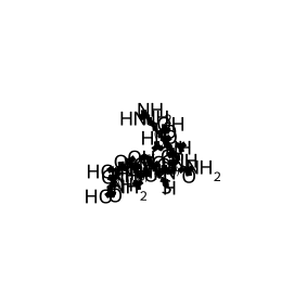 CC[C@H](C)[C@H](NC(=O)[C@H](CC(C)C)NC(=O)[C@@H](NC(=O)[C@H](CO)NC(=O)[C@@H](N)CC(=O)O)[C@@H](C)O)C(=O)N[C@@H](CCSC)C(=O)N[C@@H](CCC(N)=O)C(=O)N[C@@H](CC(C)C)C(=O)N[C@@H](CC(C)C)C(=O)N[C@@H](CCCNC(=N)N)C(=O)O